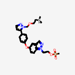 C[SiH](C)CCOCn1nccc1-c1ccc(Oc2ccc3c(cnn3CCOS(C)(=O)=O)c2)cc1